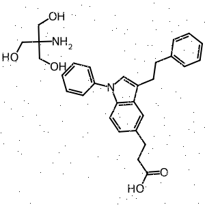 NC(CO)(CO)CO.O=C(O)CCc1ccc2c(c1)c(CCc1ccccc1)cn2-c1ccccc1